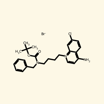 CC(C)(C)OC(=O)N(CCCC[n+]1ccc(N)c2ccc(Cl)cc21)Cc1ccccc1.[Br-]